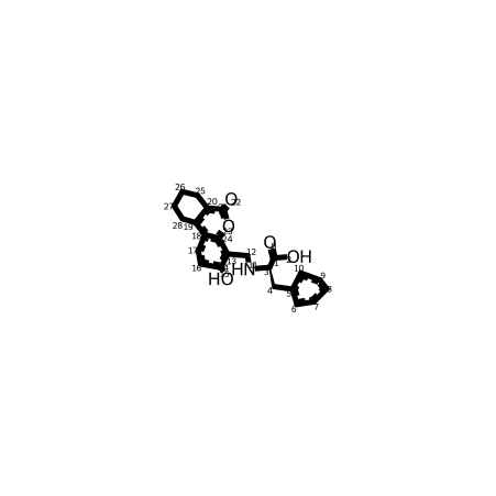 O=C(O)[C@@H](Cc1ccccc1)NCc1c(O)ccc2c3c(c(=O)oc12)CCCC3